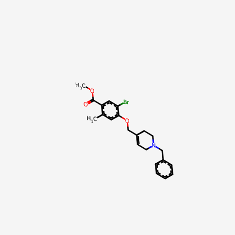 COC(=O)c1cc(Br)c(OCC2=CCN(Cc3ccccc3)CC2)cc1C